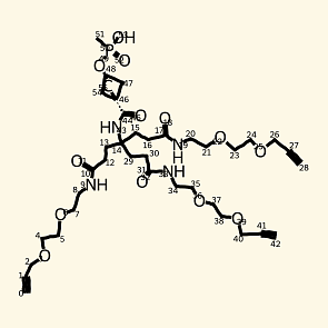 C#CCOCCOCCNC(=O)CCC(CCC(=O)NCCOCCOCC#C)(CCC(=O)NCCOCCOCC#C)NC(=O)[C@]12C[C@@](OP(C)(=O)O)(C1)C2